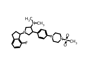 CN(C)C1CN(C2CCc3cccc(F)c32)CC1c1ccc(N2CCN(S(C)(=O)=O)CC2)cc1